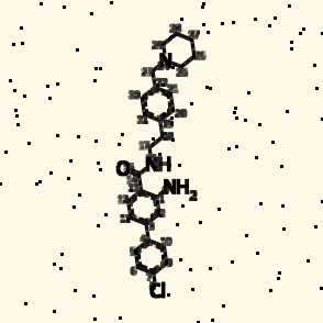 Nc1cc(-c2ccc(Cl)cc2)ccc1C(=O)NCCc1ccc(CN2CCCCC2)cc1